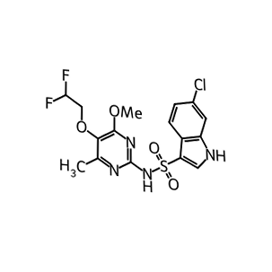 COc1nc(NS(=O)(=O)c2c[nH]c3cc(Cl)ccc23)nc(C)c1OCC(F)F